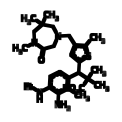 CCNc1ccc(C(c2cc(CN3CC(=O)N(C)CC(C)(C)C3)c(C)s2)C(C)(C)C(=O)O)c(C)c1N